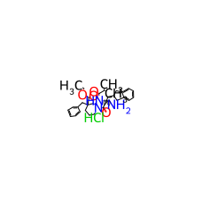 CCOC(=O)C1(Cc2ccccc2)CCCN(C(=O)[C@@](N)(CC2Cc3ccccc3C2)NC(=O)C(C)C)C1.Cl